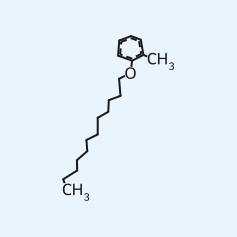 CCCCCCCCCCCCOc1ccccc1C